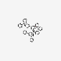 c1ccc(-c2cc(-c3ccccc3)nc(N3c4ccccc4C(c4ccccc4)(c4ccccc4)c4ccc(-c5ccc6c(c5)c5ccccc5n6-c5ccccc5)cc43)c2)cc1